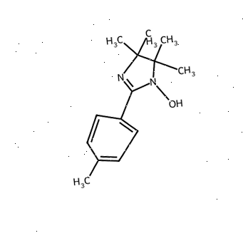 Cc1ccc(C2=NC(C)(C)C(C)(C)N2O)cc1